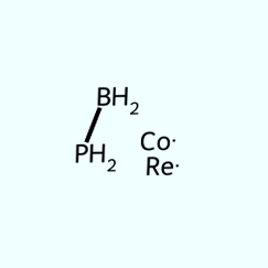 BP.[Co].[Re]